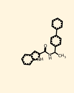 CC(NC(=O)c1cc2ccccc2[nH]1)c1ccc(-c2ccccc2)cc1